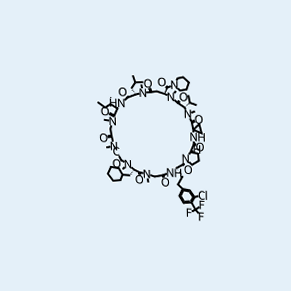 CC[C@H](C)[C@@H]1NC(=O)[C@H](CC(C)C)N(C)C(=O)C[C@@H](C(=O)N2CCCCC2)N(C)C(=O)[C@H](C(C)C)N(C)C(=O)C2(CC2)NC(=O)[C@@H]2CCCN2C(=O)[C@H](CCc2ccc(C(F)(F)F)c(Cl)c2)NC(=O)CN(C)C(=O)[C@H](CC2CCCCC2)N(C)C(=O)CN(C)C(=O)CN(C)C1=O